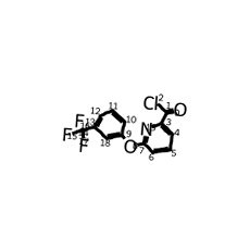 O=C(Cl)c1cccc(Oc2cccc(C(F)(F)F)c2)n1